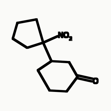 O=C1CCCC(C2([N+](=O)[O-])CCCC2)C1